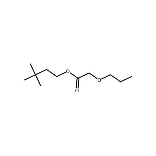 CCCOCC(=O)OCCC(C)(C)C